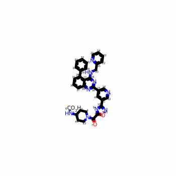 O=C(O)NC1CCN(C(=O)c2nc(-c3cncc(-c4nc(NCc5ccccn5)c5c(-c6ccccc6)cccc5n4)c3)no2)CC1